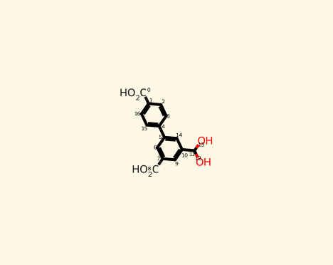 O=C(O)c1ccc(-c2cc(C(=O)O)cc(C(O)O)c2)cc1